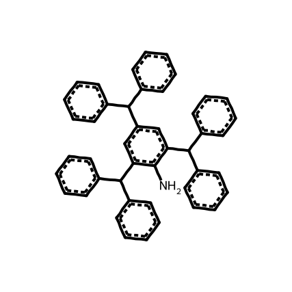 Nc1c(C(c2ccccc2)c2ccccc2)cc(C(c2ccccc2)c2ccccc2)cc1C(c1ccccc1)c1ccccc1